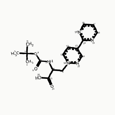 CC(C)(C)OC(=O)NC(C[n+]1ccc(-c2ncccn2)cn1)C(=O)O